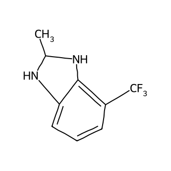 CC1Nc2cccc(C(F)(F)F)c2N1